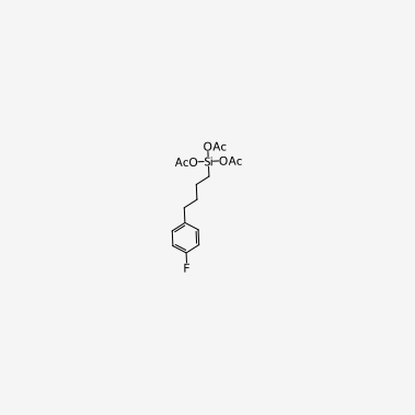 CC(=O)O[Si](CCCCc1ccc(F)cc1)(OC(C)=O)OC(C)=O